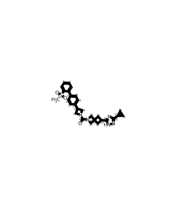 CS(=O)(=O)c1ccccc1-c1ccc(C2CN(C(=O)N3CC4(CC(c5nc(C6CC6)n[nH]5)C4)C3)C2)cc1